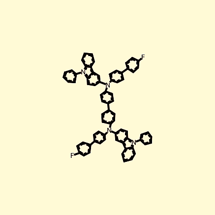 Fc1ccc(-c2ccc(N(c3ccc(-c4ccc(N(c5ccc(-c6ccc(F)cc6)cc5)c5ccc6c(c5)c5ccccc5n6-c5ccccc5)cc4)cc3)c3ccc4c(c3)c3ccccc3n4-c3ccccc3)cc2)cc1